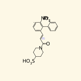 CC(C)c1ccccc1-c1c([N+](=O)[O-])[c]ccc1/C=C/C(=O)N1CCC(S(=O)(=O)O)CC1